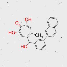 Cc1cc(O)c(=O)c(O)cc1C(O)c1cccc(-c2ccc3ccccc3c2)c1